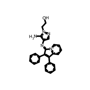 Nc1c(/N=C2/C(c3ccccc3)=C(c3ccccc3)c3cccc[n+]32)cnn1CCO